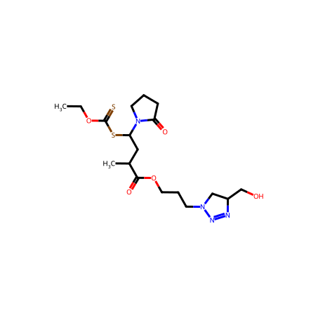 CCOC(=S)SC(CC(C)C(=O)OCCCN1CC(CO)N=N1)N1CCCC1=O